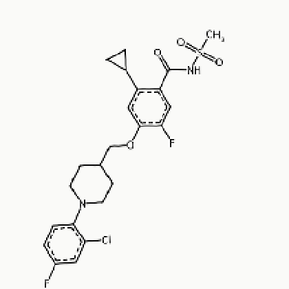 CS(=O)(=O)NC(=O)c1cc(F)c(OCC2CCN(c3ccc(F)cc3Cl)CC2)cc1C1CC1